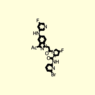 CC(=O)c1nn(CC(=O)N2C[C@H](F)C[C@H]2C(=O)Nc2cccc(Br)n2)c2ccc(Nc3cncc(F)c3)cc12